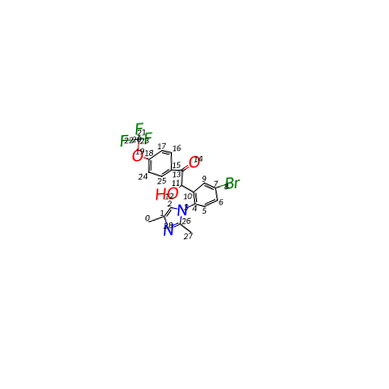 Cc1cn(-c2ccc(Br)cc2C(O)C(=O)c2ccc(OC(F)(F)F)cc2)c(C)n1